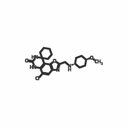 CO[C@H]1CC[C@H](NCc2nc3cc(Cl)c4c(c3o2)C2(CCCCC2)NC(=O)N4)CC1